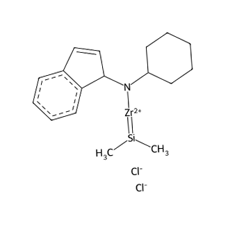 C[Si](C)=[Zr+2][N](C1CCCCC1)C1C=Cc2ccccc21.[Cl-].[Cl-]